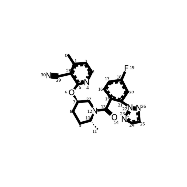 Cc1ccnc(O[C@@H]2CC[C@@H](C)N(C(=O)c3ccc(F)cc3-n3nccn3)C2)c1C#N